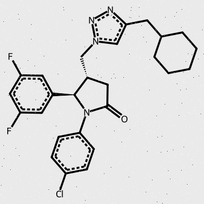 O=C1C[C@@H](Cn2cc(CC3CCCCC3)nn2)[C@H](c2cc(F)cc(F)c2)N1c1ccc(Cl)cc1